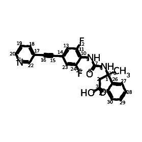 C[C@@](CC(=O)O)(NC(=O)Nc1c(F)cc(C#Cc2cccnc2)cc1F)c1ccccc1